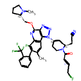 Cc1cc2c(nc(OC[C@@H]3CCCN3C)c3nnn([C@H]4CCN(C(=O)/C=C/CF)[C@H](CC#N)C4)c32)c(F)c1-c1ccccc1C(F)(F)F